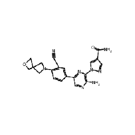 N#Cc1cc(-c2cnc(N)c(-n3cc(C(N)=O)cn3)n2)ccc1N1CC2(COC2)C1